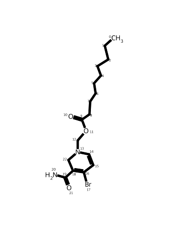 CCCCCCCCCC(=O)OCN1C=CC(Br)=C(C(N)=O)C1